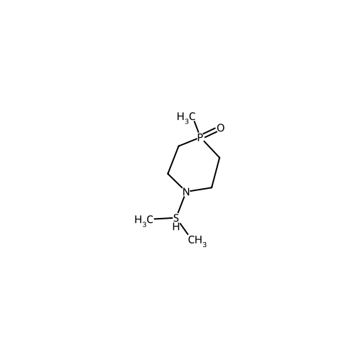 C[SH](C)N1CCP(C)(=O)CC1